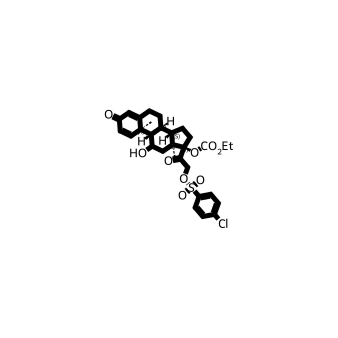 CCOC(=O)O[C@]1(C(=O)COS(=O)(=O)c2ccc(Cl)cc2)CC[C@H]2[C@@H]3CCC4=CC(=O)C=C[C@]4(C)[C@H]3C(O)C[C@@]21C